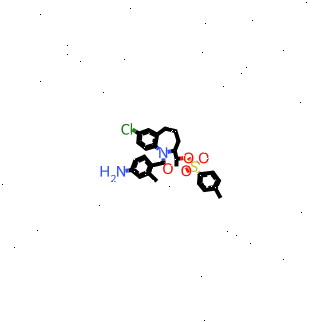 Cc1ccc(S(=O)(=O)OC(C)C2CCCc3cc(Cl)ccc3N2C(=O)c2ccc(N)cc2C)cc1